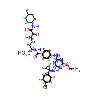 CC1CCC(NC(=O)C(=O)NCC[C@H](NC(=O)c2ccc(Nc3nc(NC4(c5ccc(Cl)cc5)CC4)nc(OCC(F)(F)F)n3)cc2)C(=O)O)CC1